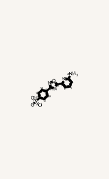 Nc1cccc(-c2nc(-c3ccc(S(=O)(=O)Cl)cc3)no2)n1